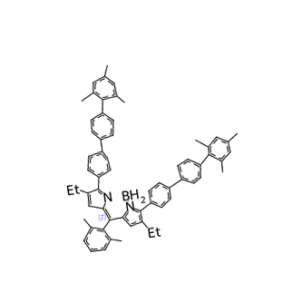 Bn1c(/C(=C2/C=C(CC)C(c3ccc(-c4ccc(-c5c(C)cc(C)cc5C)cc4)cc3)=N2)c2c(C)cccc2C)cc(CC)c1-c1ccc(-c2ccc(-c3c(C)cc(C)cc3C)cc2)cc1